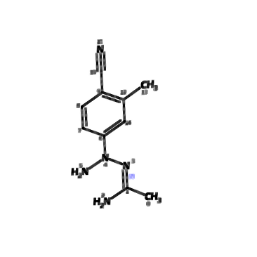 C/C(N)=N/N(N)c1ccc(C#N)c(C)c1